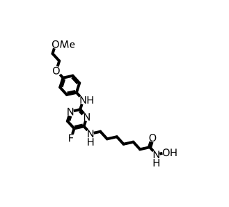 COCCOc1ccc(Nc2ncc(F)c(NCCCCCCC(=O)NO)n2)cc1